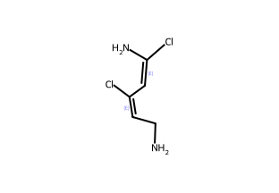 NC/C=C(Cl)\C=C(/N)Cl